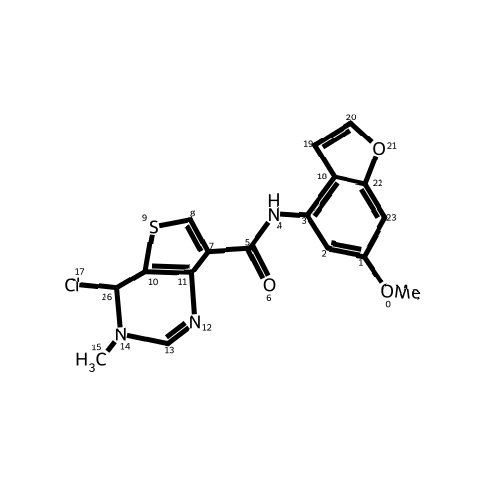 COc1cc(NC(=O)c2csc3c2N=CN(C)C3Cl)c2ccoc2c1